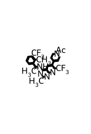 CC(=O)N1CC=C(c2cc3c(N[C@H](C)c4cccc(C(F)(F)F)c4C)nc(C)nc3nc2C(F)(F)F)CC1